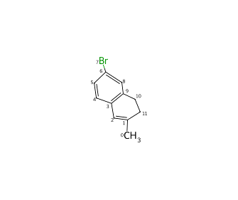 CC1=Cc2ccc(Br)cc2CC1